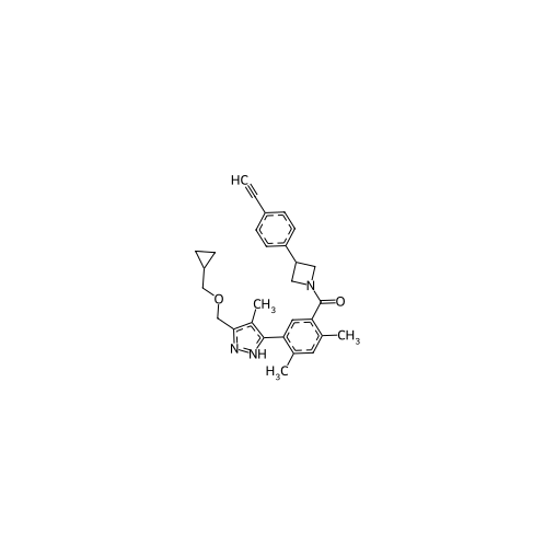 C#Cc1ccc(C2CN(C(=O)c3cc(-c4[nH]nc(COCC5CC5)c4C)c(C)cc3C)C2)cc1